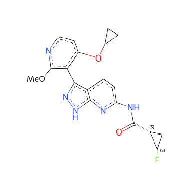 COc1nccc(OC2CC2)c1-c1n[nH]c2nc(NC(=O)[C@@H]3C[C@@H]3F)ccc12